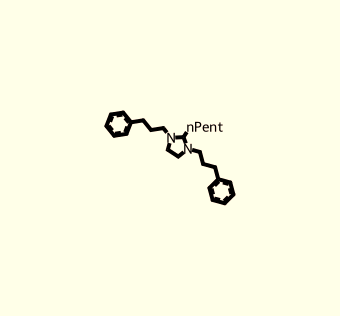 CCCCCC1N(CCCc2ccccc2)CCN1CCCc1ccccc1